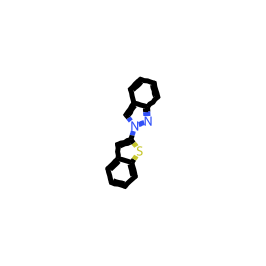 c1ccc2nn(-c3cc4ccccc4s3)cc2c1